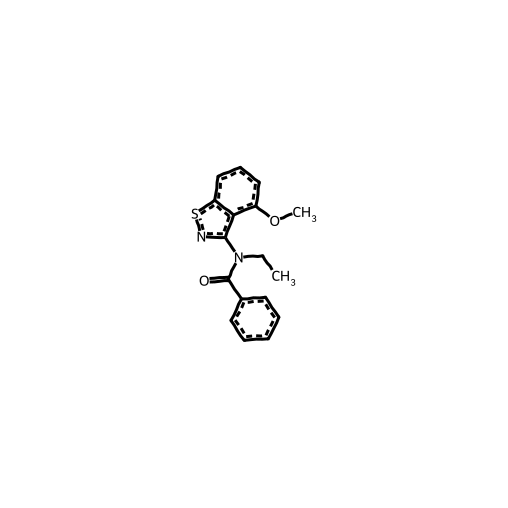 CCN(C(=O)c1ccccc1)c1nsc2cccc(OC)c12